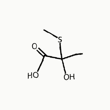 CSC(C)(O)C(=O)O